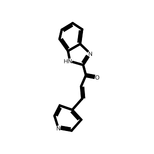 O=C(/C=C/c1ccncc1)c1nc2ccccc2[nH]1